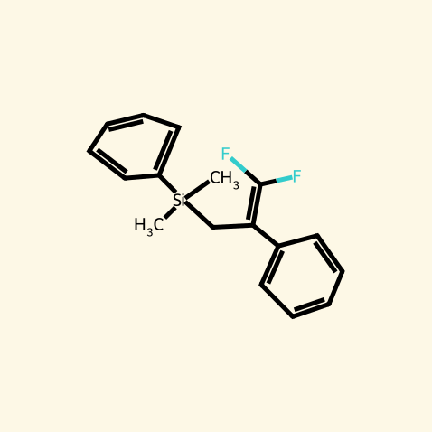 C[Si](C)(CC(=C(F)F)c1ccccc1)c1ccccc1